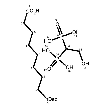 CCCCCCCCCCCCCCCCCC(=O)O.O=P(O)(O)C(CO)P(=O)(O)O